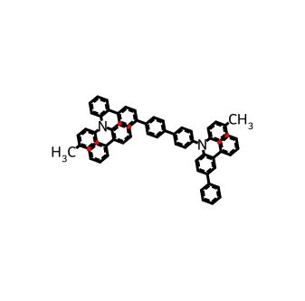 Cc1ccc(N(c2ccc(-c3ccc(-c4ccc(-c5ccccc5N(c5ccc(C)cc5)c5ccccc5-c5ccccc5)cc4)cc3)cc2)c2ccc(-c3ccccc3)cc2-c2ccccc2)cc1